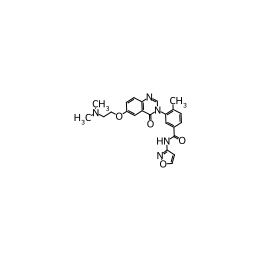 Cc1ccc(C(=O)Nc2ccon2)cc1-n1cnc2ccc(OCCN(C)C)cc2c1=O